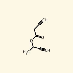 C#CCC(=O)OC(C)C#C